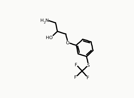 NCC(O)COc1cccc(SC(F)(F)F)c1